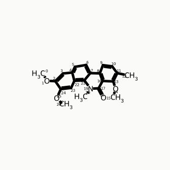 COc1cc2ccc3c4ccc(C)c(OC)c4c(=O)n(C)c3c2cc1OC